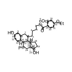 CCCCCCCCN(CCCC[C@@H]1Cc2cc(O)ccc2[C@@H]2[C@@H]1[C@@H]1CC[C@H](O)[C@@]1(C)C[C@@H]2F)C(=O)c1ccc(OCC)cc1